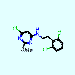 COc1nc(Cl)cc(NCCc2c(Cl)cccc2Cl)n1